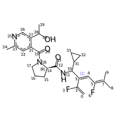 C=C(F)/C(=C\C(F)=C(C)C)C(NC(=O)[C@H]1CCCN1C(=O)c1cc(C)ncc1C(C)O)C1CC1